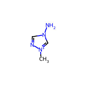 C[n+]1cn(N)cn1